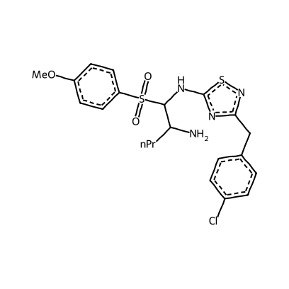 CCCC(N)C(Nc1nc(Cc2ccc(Cl)cc2)ns1)S(=O)(=O)c1ccc(OC)cc1